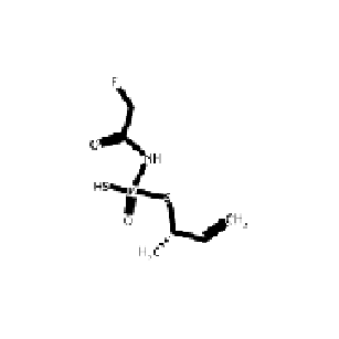 C=C[C@H](C)SP(=O)(S)NC(=O)CF